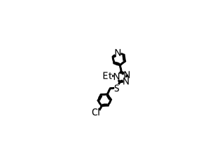 CCn1c(SCc2ccc(Cl)cc2)nnc1-c1ccncc1